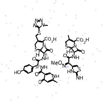 CO/N=C(\C(=O)N[C@@H]1C(=O)N2C(C(=O)O)=C(C)CS[C@H]12)c1csc(=N)[nH]1.Cc1cc(=O)c(C(=O)N[C@@H](C(=O)N[C@@H]2C(=O)N3C(C(=O)O)=C(CSc4nnnn4C)CS[C@H]23)c2ccc(O)cc2)c[nH]1